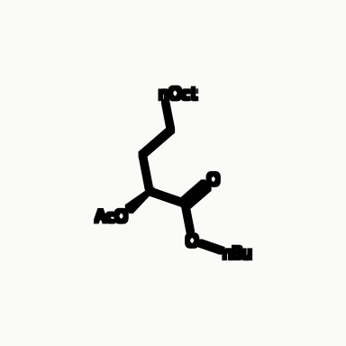 CCCCCCCCCC[C@H](OC(C)=O)C(=O)OCCCC